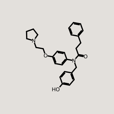 O=C(CCc1ccccc1)N(Cc1ccc(O)cc1)c1ccc(OCCN2CCCC2)cc1